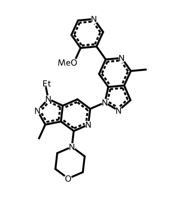 CCn1nc(C)c2c(N3CCOCC3)nc(-n3ncc4c(C)nc(-c5cnccc5OC)cc43)cc21